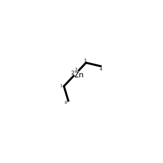 C[CH2][2Zn][CH2]C